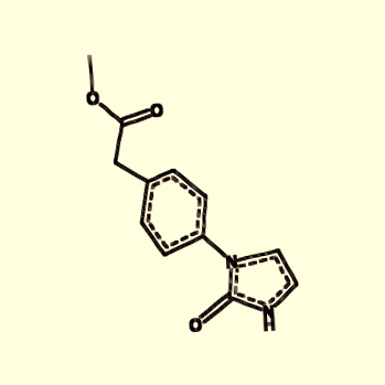 COC(=O)Cc1ccc(-n2cc[nH]c2=O)cc1